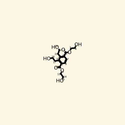 O=C(OCCO)c1ccc(C(=O)OCCO)c(CCO)c1CCO